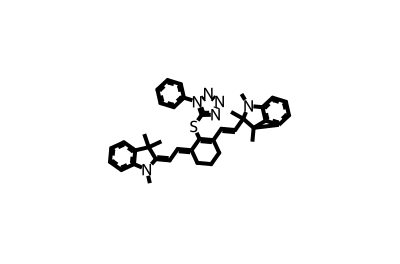 CN1/C(=C/C=C2\CCCC(/C=C/C3(C)N(C)c4cccc5c4C53C)=C2Sc2nnnn2-c2ccccc2)C(C)(C)c2ccccc21